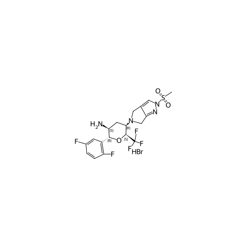 Br.CS(=O)(=O)n1cc2c(n1)CN([C@@H]1C[C@H](N)[C@@H](c3cc(F)ccc3F)O[C@@H]1C(F)(F)F)C2